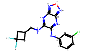 FC1(F)CC(CNc2nc3nonc3nc2Nc2cccc(Cl)c2)C1